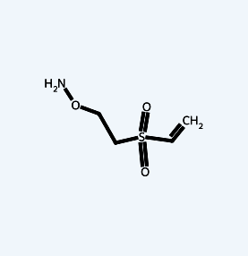 C=CS(=O)(=O)CCON